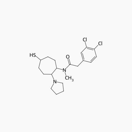 CN(C(=O)Cc1ccc(Cl)c(Cl)c1)C1CCC(S)CCC1N1CCCC1